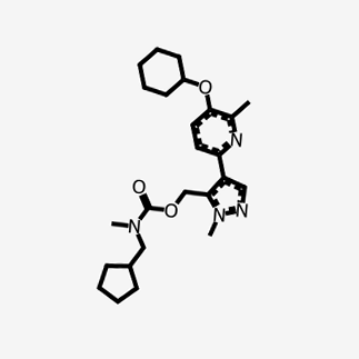 Cc1nc(-c2cnn(C)c2COC(=O)N(C)CC2CCCC2)ccc1OC1CCCCC1